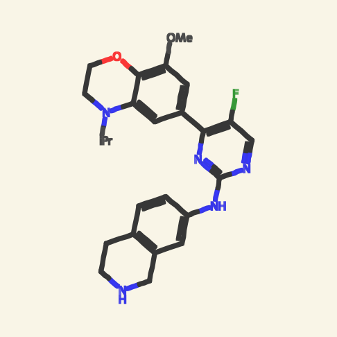 COc1cc(-c2nc(Nc3ccc4c(c3)CNCC4)ncc2F)cc2c1OCCN2C(C)C